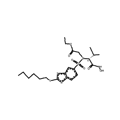 CCCCCCSc1nc2ccc(S(=O)(=O)N(CC(=O)OCC)[C@@H](C(=O)NO)C(C)C)cc2s1